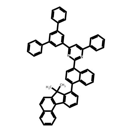 CC1(C)c2ccc3ccccc3c2-c2cccc(-c3ccc(-c4nc(-c5ccccc5)cc(-c5cc(-c6ccccc6)cc(-c6ccccc6)c5)n4)c4ccccc34)c21